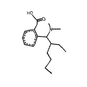 CCCCC(CC)C(c1ccccc1C(=O)O)N(C)C